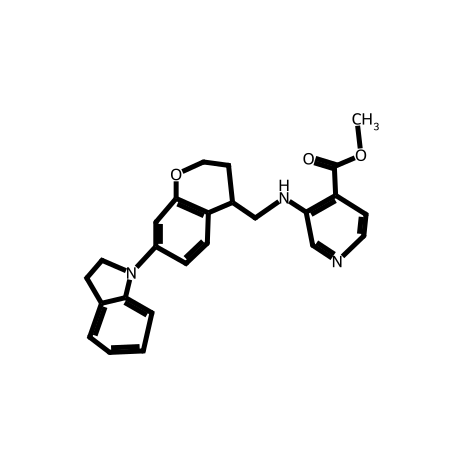 COC(=O)c1ccncc1NCC1CCOc2cc(N3CCc4ccccc43)ccc21